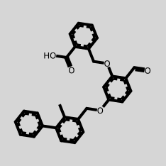 Cc1c(COc2ccc(C=O)c(OCc3ccccc3C(=O)O)c2)cccc1-c1ccccc1